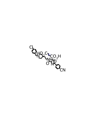 N#Cc1ccc(-c2nc(C(=O)NCCC3CCN(Cc4ccc(Cl)cc4)CC3)no2)cc1.O=C(O)/C=C/C(=O)O